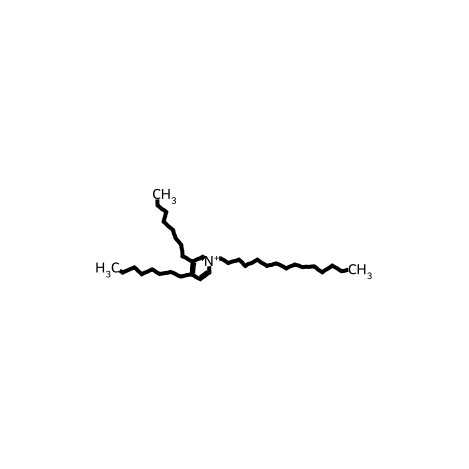 CCCCCCCCCCCCCCC[n+]1ccc(CCCCCCCC)c(CCCCCCCC)c1